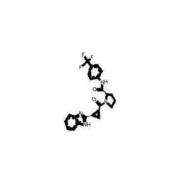 O=C(Nc1ccc(C(F)(F)F)cc1)[C@H]1CCCN1C(=O)[C@H]1C[C@@H]1c1nc2ccccc2[nH]1